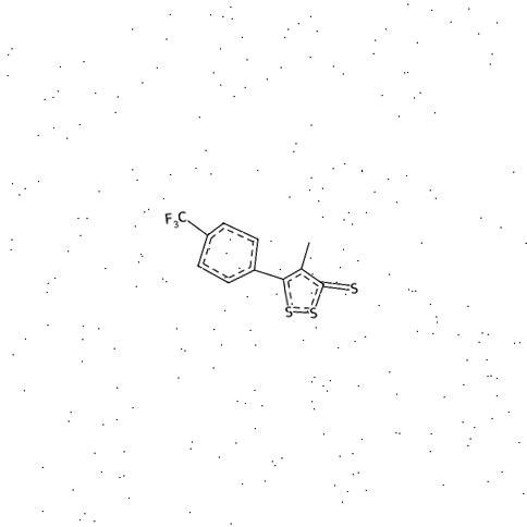 Cc1c(-c2ccc(C(F)(F)F)cc2)ssc1=S